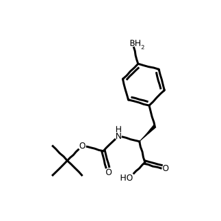 Bc1ccc(C[C@H](NC(=O)OC(C)(C)C)C(=O)O)cc1